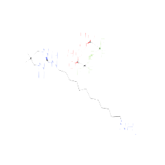 CC1(C)CN=C(NCCCCCCCCCCCCN)NC1.O=C(O)C(F)(F)F.O=C(O)C(F)(F)F